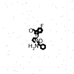 N[C@H](C(=O)N1CCC[C@H]1Cn1cc(C=O)c2cc(F)ccc21)C1CCCCC1